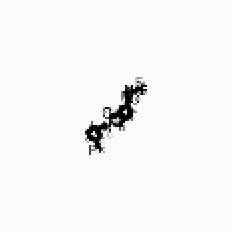 CN(Cc1cccc(C(F)F)c1)N1Cc2ccc(-c3nnc(C(F)F)o3)cc2C1=O